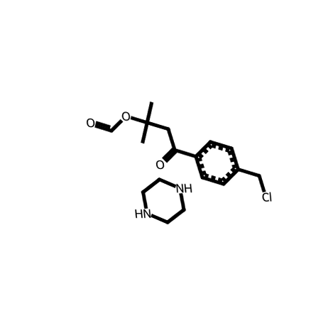 C1CNCCN1.CC(C)(CC(=O)c1ccc(CCl)cc1)OC=O